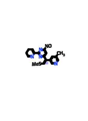 CS/C=C(/c1cncc(C)c1)c1cc(N=O)nc(C2=CCCC=N2)n1